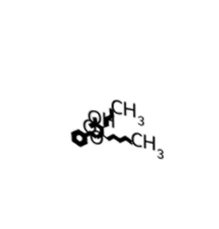 CCCCCC[C@@H](OCc1ccccc1)[C@H](CCCCC)C(=O)O